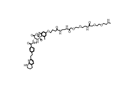 CNCCOCCOCC(=O)NCCOCCOCC(=O)NCCNC(=O)CCCOc1cc(C)c(S(=O)(=O)N[C@H](CNC(=O)c2ccc(CCc3ccc4c(n3)NCCC4)cc2)C(=O)O)c(C)c1